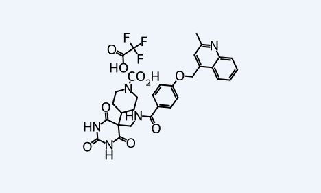 Cc1cc(COc2ccc(C(=O)NCC3(C4CCN(C(=O)O)CC4)C(=O)NC(=O)NC3=O)cc2)c2ccccc2n1.O=C(O)C(F)(F)F